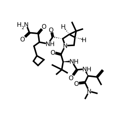 C=C(C)[C@H](NC(=O)N[C@H](C(=O)N1C[C@H]2[C@@H]([C@H]1C(=O)NC(CC1CCC1)C(=O)C(N)=O)C2(C)C)C(C)(C)C)C(=O)N(C)C